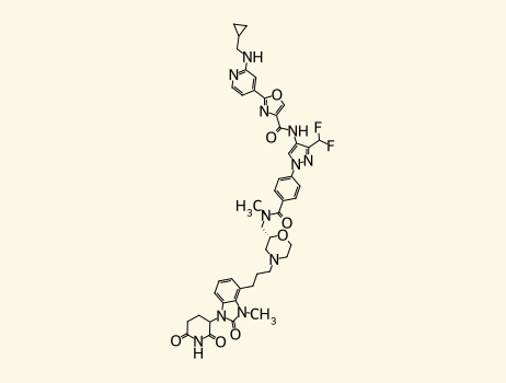 CN(C[C@H]1CN(CCCc2cccc3c2n(C)c(=O)n3C2CCC(=O)NC2=O)CCO1)C(=O)c1ccc(-n2cc(NC(=O)c3coc(-c4ccnc(NCC5CC5)c4)n3)c(C(F)F)n2)cc1